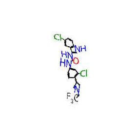 O=C(Nc1ccc(C2CN(CC(F)(F)F)C2)c(Cl)c1)Nc1c[nH]c2ccc(Cl)cc12